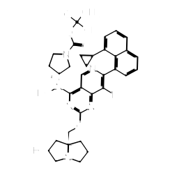 CN(c1nc(OC[C@@]23CCCN2C[C@H](F)C3)nc2c(F)c(-c3cccc4cccc(C5CC5)c34)ncc12)[C@@H]1CCN(C(=O)OC(C)(C)C)C1